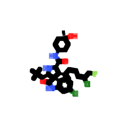 C=C(/C=C\C=C(\Cl)CF)[C@H]1[C@H](C(=O)N[C@H]2CC[C@](C)(O)CC2)N[C@H](CC(C)(C)C)[C@]12C(=O)Nc1cc(Cl)ccc12